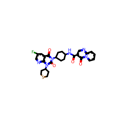 O=C(NC1CCC(n2c(=O)c3cc(F)cnc3n(C3CCSCC3)c2=O)CC1)c1cnc2ccccn2c1=O